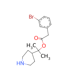 CC(C)(OC(=O)Cc1cccc(Br)c1)C1CCNCC1